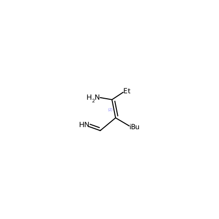 CC/C(N)=C(/C=N)C(C)CC